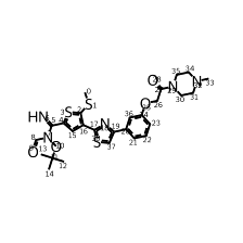 CSc1sc(C(=N)N(C=O)OC(C)(C)C)cc1-c1nc(-c2cccc(OCC(=O)N3CCN(C)CC3)c2)cs1